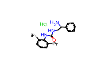 CC(C)c1cccc(C(C)C)c1NC(=O)NC[C@@H](N)c1ccccc1.Cl